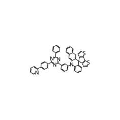 c1ccc(-c2nc(-c3ccc(-c4ccccn4)cc3)nc(-c3cccc(N4c5ccccc5C5(c6cc7ccccc7cc64)c4ccsc4-c4sccc45)c3)n2)cc1